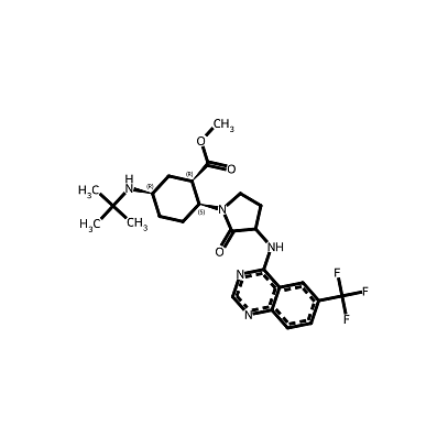 COC(=O)[C@@H]1C[C@H](NC(C)(C)C)CC[C@@H]1N1CCC(Nc2ncnc3ccc(C(F)(F)F)cc23)C1=O